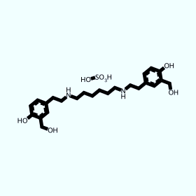 O=S(=O)(O)O.OCc1cc(CCNCCCCCCNCCc2ccc(O)c(CO)c2)ccc1O